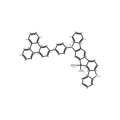 CC1(C)c2cc3c(cc2-c2ccc4oc5ccccc5c4c21)c1ccccc1n3-c1ccc(-c2ccc3c4ccccc4c4ccccc4c3c2)cc1